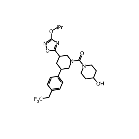 CC(C)Oc1noc(C2CC(c3ccc(CC(F)(F)F)cc3)CN(C(=O)N3CCC(O)CC3)C2)n1